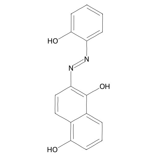 Oc1ccccc1N=Nc1ccc2c(O)cccc2c1O